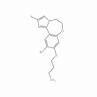 CCCCOc1cc2c(cc1Br)-c1nc(I)cn1CCO2